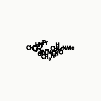 CNCC(=O)Nc1ncnc(N2CCN(C(=O)[C@H](CNC(C)C)c3ccc(Cl)cc3)[C@@H](C)C2)c1C